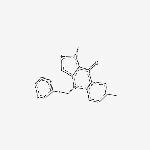 Cc1ccc2c(c1)c(=O)c1c(cnn1C)n2Cc1cccnc1